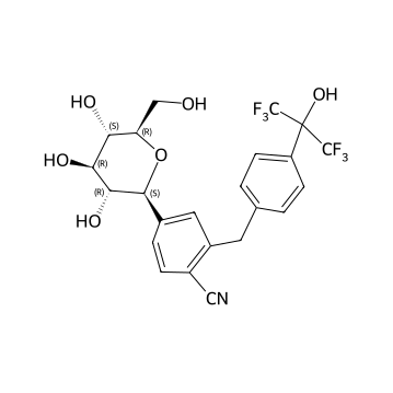 N#Cc1ccc([C@@H]2O[C@H](CO)[C@@H](O)[C@H](O)[C@H]2O)cc1Cc1ccc(C(O)(C(F)(F)F)C(F)(F)F)cc1